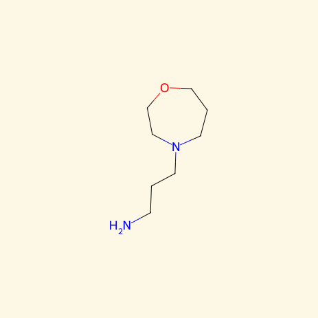 NCCCN1CCCOCC1